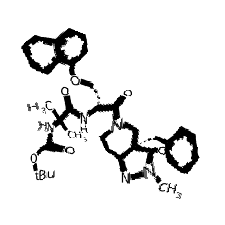 CN1N=C2CCN(C(=O)[C@@H](COc3cccc4ccccc34)NC(=O)C(C)(C)NC(=O)OC(C)(C)C)C[C@@]2(Cc2ccccc2)C1=O